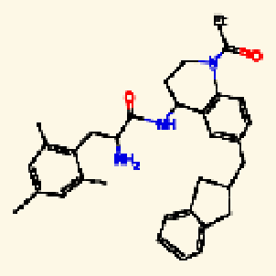 CCC(=O)N1CCC(NC(=O)C(N)Cc2c(C)cc(C)cc2C)c2cc(CC3Cc4ccccc4C3)ccc21